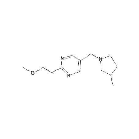 COCCc1ncc(CN2CCC(C)C2)cn1